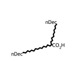 CCCCCCCCCCCCCCCCCCCCCCCCC(CCCCCCCCCCCCCCCCCCCC)C(=O)O